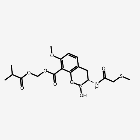 COc1ccc2c(c1C(=O)OCOC(=O)C(C)C)OB(O)[C@@H](NC(=O)CSC)C2